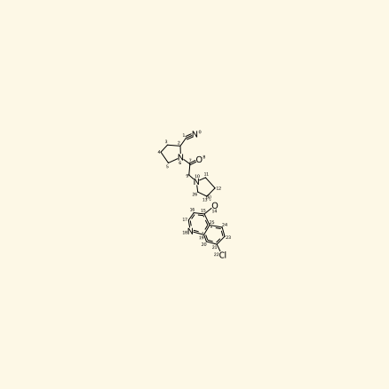 N#CC1CCCN1C(=O)CN1CC[C@H](Oc2ccnc3cc(Cl)ccc23)C1